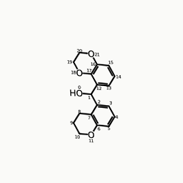 OC(c1cccc2c1CCCO2)c1cccc2c1OCCO2